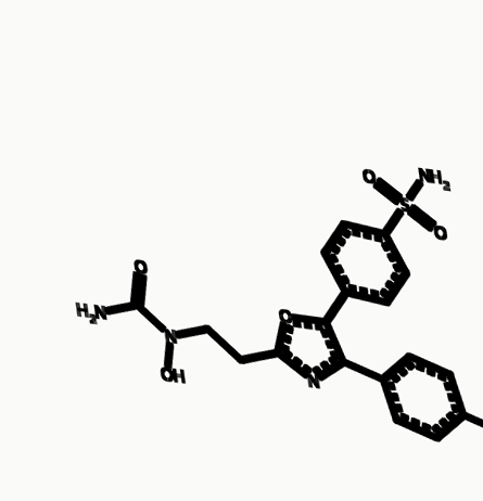 NC(=O)N(O)CCc1nc(-c2ccc(F)cc2)c(-c2ccc(S(N)(=O)=O)cc2)o1